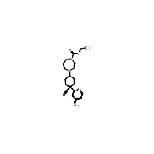 CCOC(=O)N1CCCN(C2CCC(C#N)(c3cc(C)ccn3)CC2)CC1